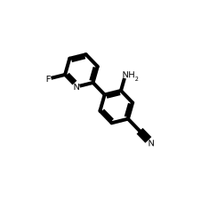 N#Cc1ccc(-c2cccc(F)n2)c(N)c1